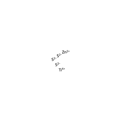 [S-2].[S-2].[S-2].[Ti+4].[Zn+2]